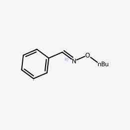 CCCCO/N=C/c1c[c]ccc1